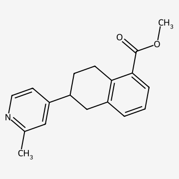 COC(=O)c1cccc2c1CCC(c1ccnc(C)c1)C2